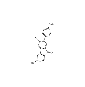 COc1ccc(-c2cc3c(cc2C(C)(C)C)-c2cc(C(C)(C)C)ccc2C3=O)cc1